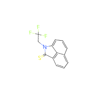 FC(F)(F)CN1C(=S)c2cccc3cccc1c23